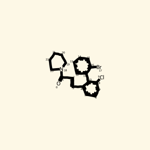 O=C(/C=C/c1cc[c]c(Cl)c1-c1ccccc1Br)N1CCCCC1